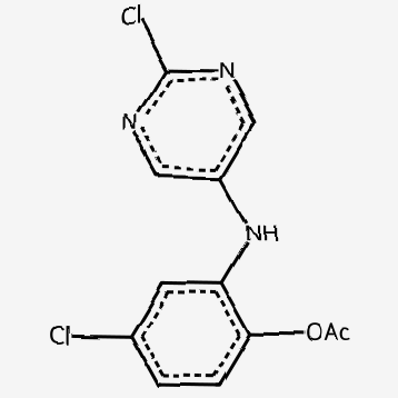 CC(=O)Oc1ccc(Cl)cc1Nc1cnc(Cl)nc1